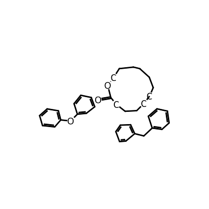 O=C1CCCCCCCCCCCO1.c1ccc(Cc2ccccc2)cc1.c1ccc(Oc2ccccc2)cc1